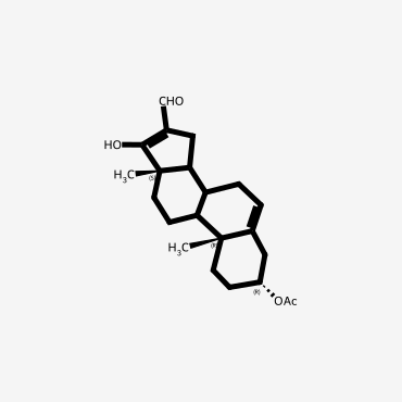 CC(=O)O[C@@H]1CC[C@@]2(C)C(=CCC3C2CC[C@]2(C)C(O)=C(C=O)CC32)C1